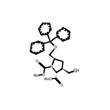 COC(=O)[C@H]1[C@H](CO)C[C@H](COC(c2ccccc2)(c2ccccc2)c2ccccc2)N1C(=O)OC(C)(C)C